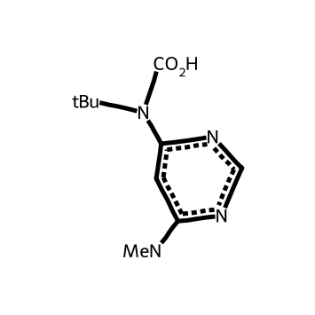 CNc1cc(N(C(=O)O)C(C)(C)C)ncn1